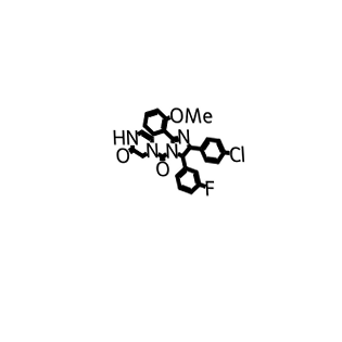 COC1=C(C2=NC(c3ccc(Cl)cc3)C(c3cccc(F)c3)N2C(=O)N2C=CNC(=O)C2)CCC=C1